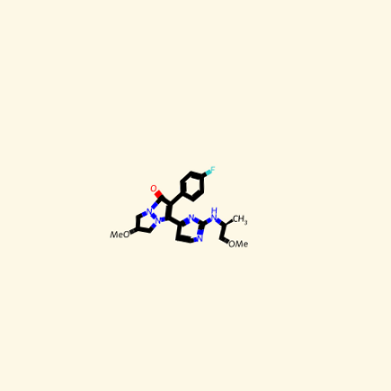 COC[C@H](C)Nc1nccc(-c2c(-c3ccc(F)cc3)c(=O)n3n2CC(OC)C3)n1